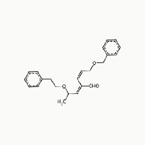 CC(/C=C(C=O)\C=C/COCc1ccccc1)OCCc1ccccc1